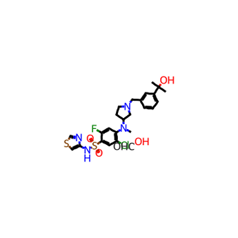 CN(c1cc(F)c(S(=O)(=O)Nc2cscn2)cc1Cl)C1CCN(Cc2cccc(C(C)(C)O)c2)C1.O=CO